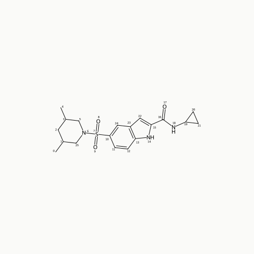 CC1CC(C)CN(S(=O)(=O)c2ccc3[nH]c(C(=O)NC4CC4)cc3c2)C1